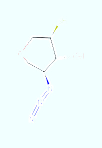 [N-]=[N+]=N[C@H]1COC[C@@H](S)[C@@H]1O